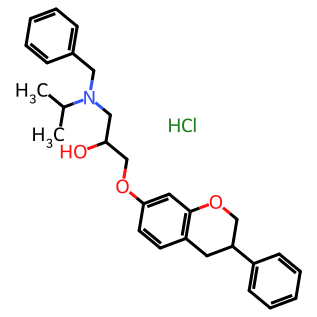 CC(C)N(Cc1ccccc1)CC(O)COc1ccc2c(c1)OCC(c1ccccc1)C2.Cl